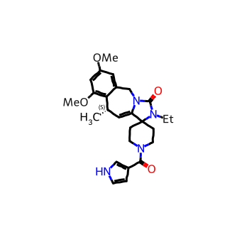 CCN1C(=O)N2Cc3cc(OC)cc(OC)c3[C@@H](C)C=C2C12CCN(C(=O)c1cc[nH]c1)CC2